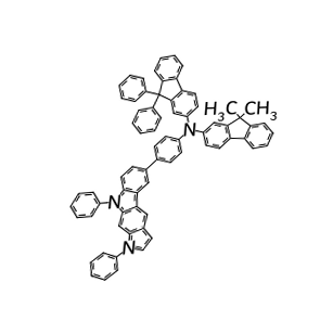 CC1(C)c2ccccc2-c2ccc(N(c3ccc(-c4ccc5c(c4)c4cc6ccn(-c7ccccc7)c6cc4n5-c4ccccc4)cc3)c3ccc4c(c3)C(c3ccccc3)(c3ccccc3)c3ccccc3-4)cc21